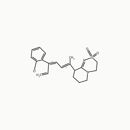 C=C/C(=C\C=C(/C)C1CCCN2CCS(=O)(=O)N=C12)c1ccccc1Cl